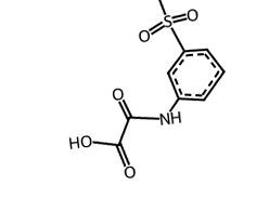 CS(=O)(=O)c1cccc(NC(=O)C(=O)O)c1